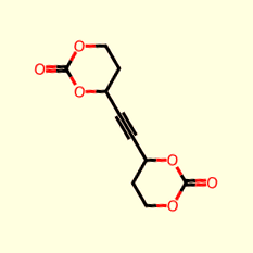 O=C1OCCC(C#CC2CCOC(=O)O2)O1